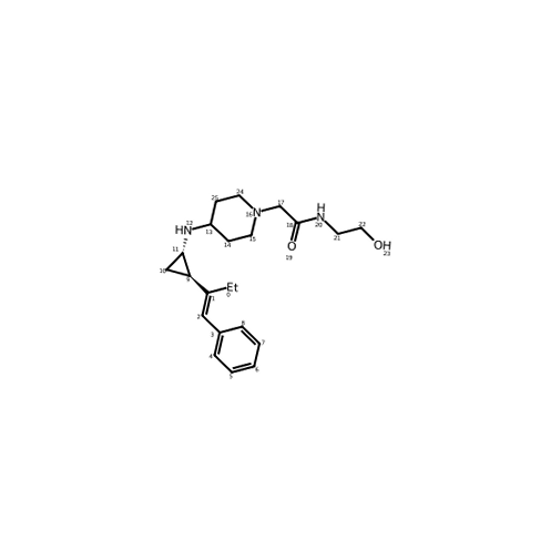 CC/C(=C\c1ccccc1)[C@H]1C[C@@H]1NC1CCN(CC(=O)NCCO)CC1